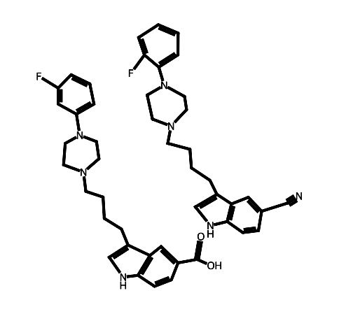 N#Cc1ccc2[nH]cc(CCCCN3CCN(c4ccccc4F)CC3)c2c1.O=C(O)c1ccc2[nH]cc(CCCCN3CCN(c4cccc(F)c4)CC3)c2c1